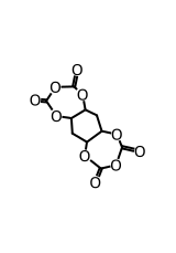 O=C1OC(=O)OC2CC3OC(=O)OC(=O)OC3CC2O1